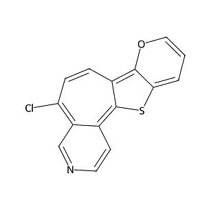 ClC1=c2cnccc2=c2sc3c(c2C=C1)OC=CC=3